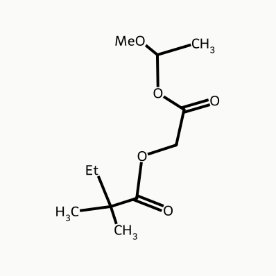 CCC(C)(C)C(=O)OCC(=O)OC(C)OC